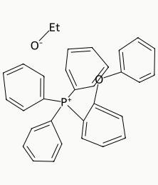 CC[O-].c1ccc(Oc2ccccc2[P+](c2ccccc2)(c2ccccc2)c2ccccc2)cc1